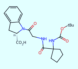 CC(C)(C)OC(=O)NC1(C(=O)NCC(=O)N2c3ccccc3C[C@H]2C(=O)O)CCCC1